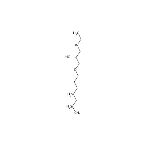 CCNCC(O)COCCC[SiH2]C[SiH2]C